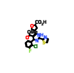 COC(=O)C1=C([C@@H]2CO[C@@H](C(=O)O)C2)NC(c2nccs2)=NC1c1cccc(F)c1Cl